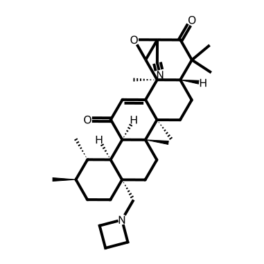 C[C@@H]1[C@H]2[C@H]3C(=O)C=C4[C@@]5(C)C6OC6(C#N)C(=O)C(C)(C)[C@@H]5CC[C@@]4(C)[C@]3(C)CC[C@@]2(CN2CCC2)CC[C@H]1C